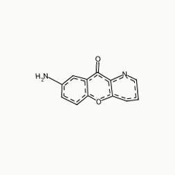 Nc1ccc2oc3cccnc3c(=O)c2c1